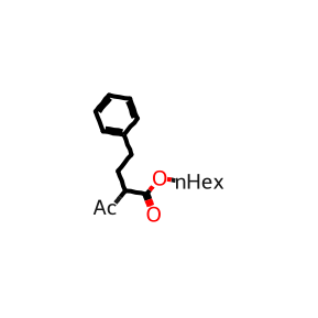 CCCCCCOC(=O)C(CCc1ccccc1)C(C)=O